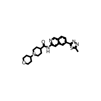 Cc1nnc(-c2ccc3cnc(NC(=O)C4CCN(C5CCOCC5)CC4)cc3c2)s1